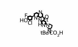 CCC(=O)c1cnc2ccc(-c3cc(F)c(O)c(Cl)c3)nc2c1Nc1ccc(N2CCC[C@H](N(C(=O)O)C(C)(C)C)C2)nc1